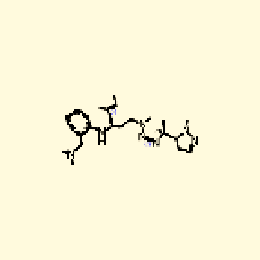 C/C=C(\C)C(CCN(C)/N=N\[C@@H](C)C1CC=NN1C)Nc1ccccc1CN(C)C